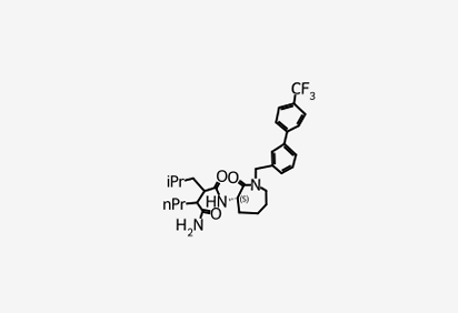 CCCC(C(N)=O)C(CC(C)C)C(=O)N[C@H]1CCCCN(Cc2cccc(-c3ccc(C(F)(F)F)cc3)c2)C1=O